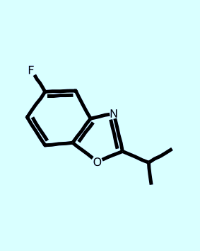 CC(C)c1nc2cc(F)ccc2o1